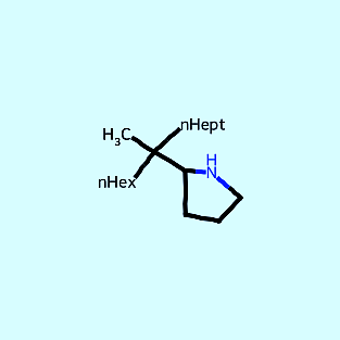 CCCCCCCC(C)(CCCCCC)C1CCCN1